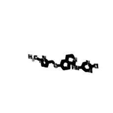 Cn1ccc(COc2ccc3c(Nc4cnc(Cl)nc4)nccc3c2)n1